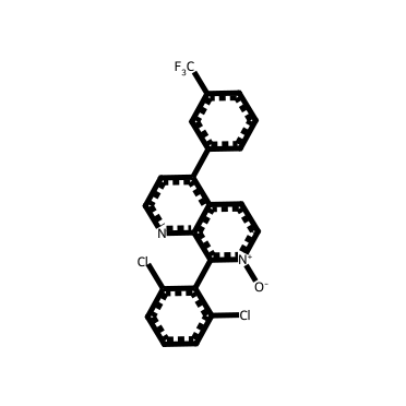 [O-][n+]1ccc2c(-c3cccc(C(F)(F)F)c3)ccnc2c1-c1c(Cl)cccc1Cl